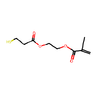 C=C(C)C(=O)OCCOC(=O)CCS